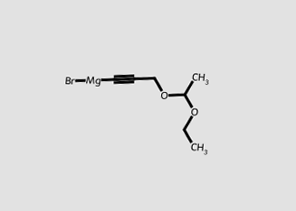 CCOC(C)OCC#[C][Mg][Br]